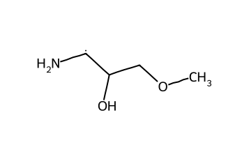 COCC(O)[CH]N